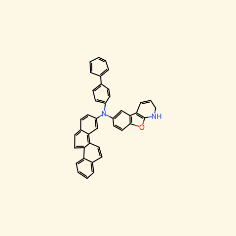 C1=Cc2c(oc3ccc(N(c4ccc(-c5ccccc5)cc4)c4ccc5ccc6c7ccccc7ccc6c5c4)cc23)NC1